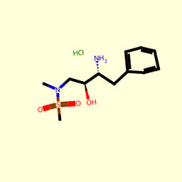 CN(C[C@H](O)[C@H](N)Cc1ccccc1)S(C)(=O)=O.Cl